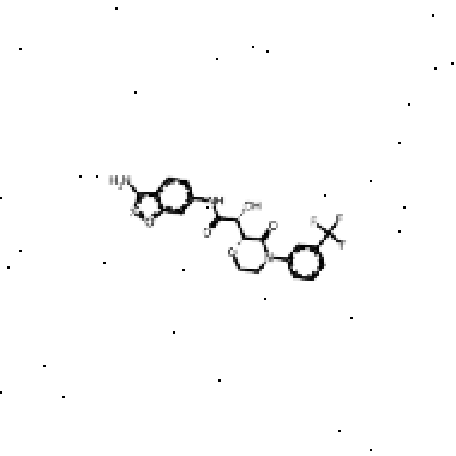 Nc1noc2cc(NC(=O)[C@H](O)[C@H]3OCCN(c4cccc(C(F)(F)F)c4)C3=O)ccc12